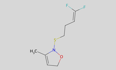 CC1=CCON1SCCC=C(F)F